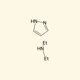 CCNCC.c1cn[nH]c1